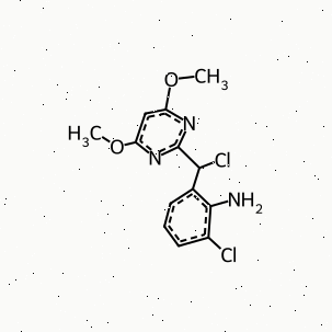 COc1cc(OC)nc(C(Cl)c2cccc(Cl)c2N)n1